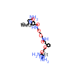 CCc1nc(N)nc(N)c1OCCCOc1ccccc1CCC(=O)NCCOCCOCCNC(=O)c1ccc(N2C(CC(C)(C)C)CCC2C(N)=O)c(OC)c1